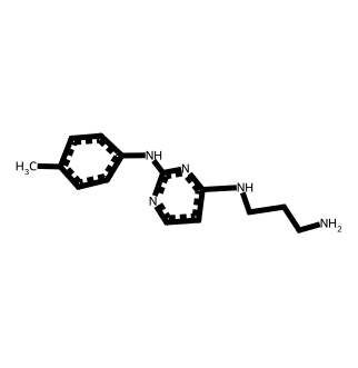 Cc1ccc(Nc2nccc(NCCCN)n2)cc1